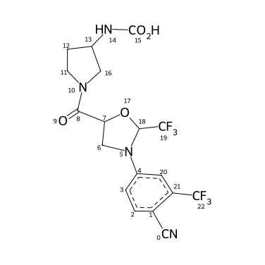 N#Cc1ccc(N2CC(C(=O)N3CCC(NC(=O)O)C3)OC2C(F)(F)F)cc1C(F)(F)F